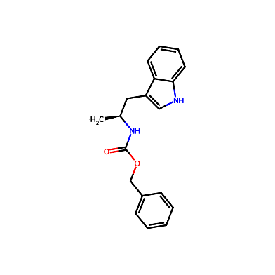 [CH2][C@@H](Cc1c[nH]c2ccccc12)NC(=O)OCc1ccccc1